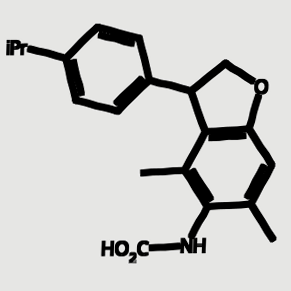 Cc1cc2c(c(C)c1NC(=O)O)C(c1ccc(C(C)C)cc1)CO2